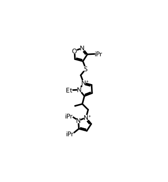 CCn1c(C(C)C[n+]2ccc(C(C)C)n2C(C)C)cc[n+]1CSc1conc1C(C)C